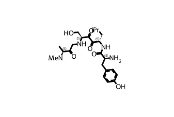 CN[C@@H](C)C(=O)CN[C@@H](CO)C(=O)C(=O)[C@H](CC(C)C)NC(=O)[C@@H](N)Cc1ccc(O)cc1